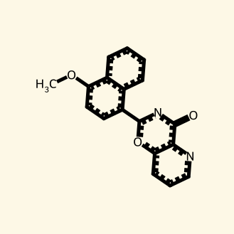 COc1ccc(-c2nc(=O)c3ncccc3o2)c2ccccc12